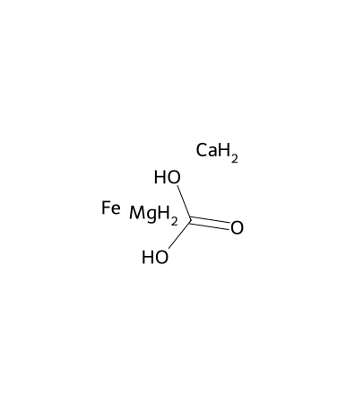 O=C(O)O.[CaH2].[Fe].[MgH2]